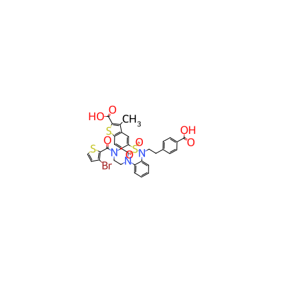 Cc1c(C(=O)O)sc2ccc(S(=O)(=O)N(CCc3ccc(C(=O)O)cc3)c3ccccc3N3CCN(C(=O)c4sccc4Br)CC3)cc12